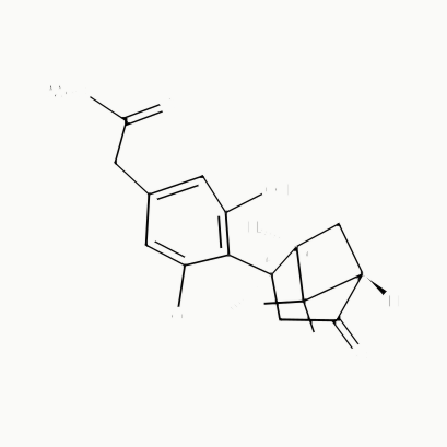 COC(=O)Cc1cc(O)c([C@@H]2CC(=O)[C@H]3C[C@H]2C3(C)C)c(O)c1